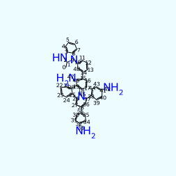 CC1Nc2ccccc2N1c1cccc(-c2cccc(-c3ccccc3-c3cc(-c4ccc(N)cc4)cc(-c4ccc(N)cc4)n3)c2N)c1